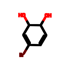 OC1C=CC(Br)=CC1O